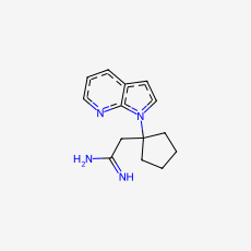 N=C(N)CC1(n2ccc3cccnc32)CCCC1